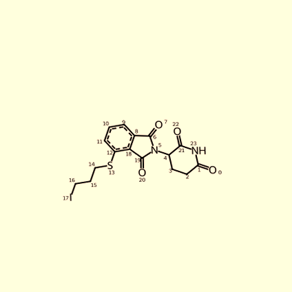 O=C1CCC(N2C(=O)c3cccc(SCCCI)c3C2=O)C(=O)N1